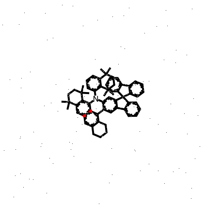 CC1(C)CCC(C)(C)c2c(N(c3cc4c(cc3-c3cccc5c3CCCC5)-c3ccccc3C43c4ccccc4-c4ccccc43)c3cccc4c3C(C)(C)CCC4(C)C)cccc21